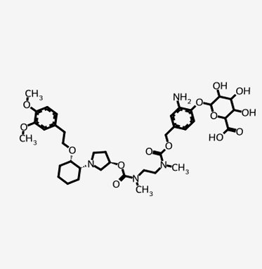 COc1ccc(CCO[C@H]2CCCC[C@H]2N2CC[C@@H](OC(=O)N(C)CCN(C)C(=O)OCc3ccc(OC4OC(C(=O)O)C(O)C(O)C4O)c(N)c3)C2)cc1OC